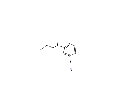 [CH2]CCC(C)c1cccc(C#N)c1